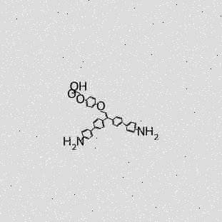 Nc1ccc(-c2ccc(C(=CCOc3ccc(OCC(=O)O)cc3)c3ccc(-c4ccc(N)cc4)cc3)cc2)cc1